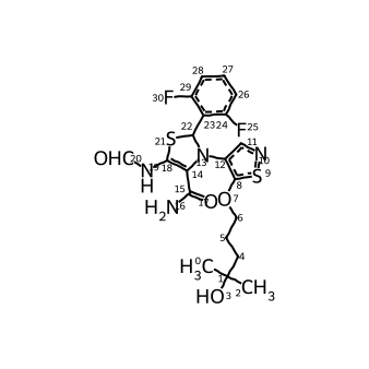 CC(C)(O)CCCOc1sncc1N1C(C(N)=O)=C(NC=O)SC1c1c(F)cccc1F